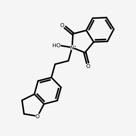 O=C1c2ccccc2C(=O)[N+]1(O)CCc1ccc2c(c1)CCO2